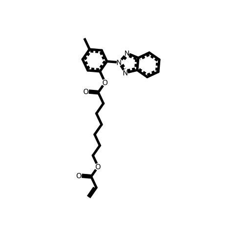 C=CC(=O)OCCCCCCC(=O)Oc1ccc(C)cc1-n1nc2ccccc2n1